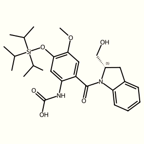 COc1cc(C(=O)N2c3ccccc3C[C@H]2CO)c(NC(=O)O)cc1O[Si](C(C)C)(C(C)C)C(C)C